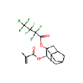 C=C(C)C(=O)OC1C2CC3CC(C2)CC1(OC(=O)C(F)(F)C(F)(F)C(F)(F)F)C3